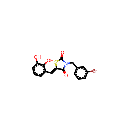 O=C1SC(=Cc2cccc(O)c2O)C(=O)N1Cc1cccc(Br)c1